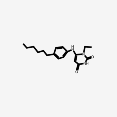 CCCCCCc1ccc(Nc2cc(=O)[nH]c(=O)n2CC)cc1